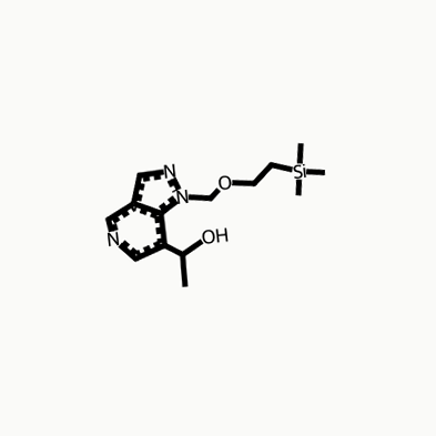 CC(O)c1cncc2cnn(COCC[Si](C)(C)C)c12